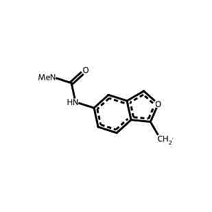 [CH2]c1occ2cc(NC(=O)NC)ccc12